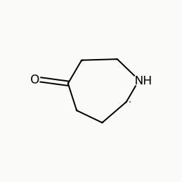 O=C1CC[CH]NCC1